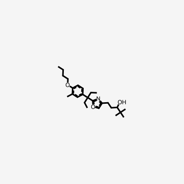 CCCCOc1ccc(C(CC)(CC)c2nc(CCC(O)C(C)(C)C)co2)cc1C